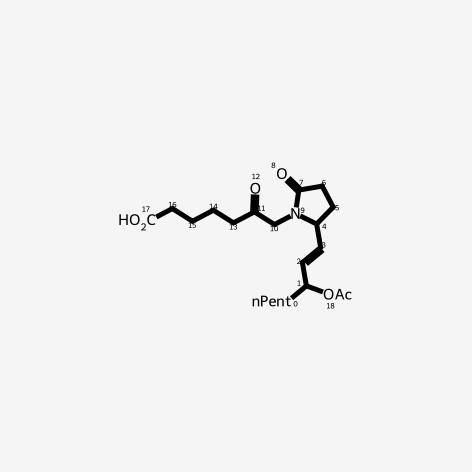 CCCCCC(C=CC1CCC(=O)N1CC(=O)CCCCC(=O)O)OC(C)=O